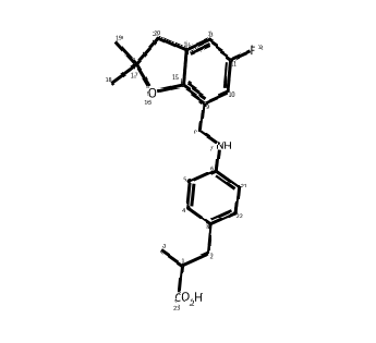 CC(Cc1ccc(NCc2cc(F)cc3c2OC(C)(C)C3)cc1)C(=O)O